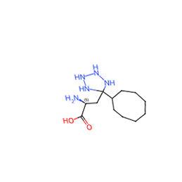 N[C@@H](CC1(C2CCCCCCC2)NNNN1)C(=O)O